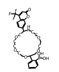 O=c1cc(C(F)(F)F)c2ccc(C3COCCOCCOC(c4ccccc4B(O)O)COCCOCCN3)cc2o1